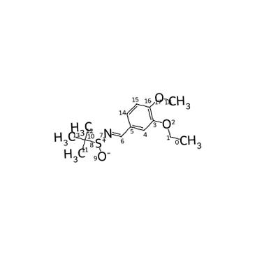 CCOc1cc(C=N[S+]([O-])C(C)(C)C)ccc1OC